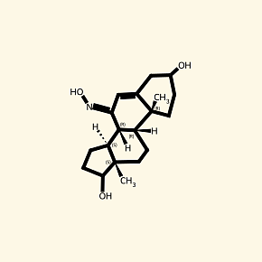 C[C@]12CCC(O)CC1=CC(=NO)[C@@H]1[C@H]2CC[C@]2(C)C(O)CC[C@@H]12